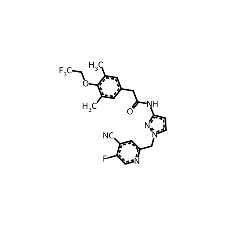 Cc1cc(CC(=O)Nc2ccn(Cc3cc(C#N)c(F)cn3)n2)cc(C)c1OCC(F)(F)F